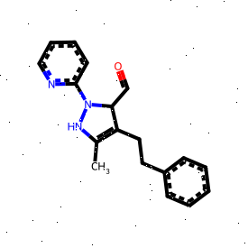 CC1=C(CCc2ccccc2)C(C=O)N(c2ccccn2)N1